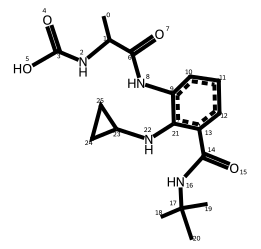 CC(NC(=O)O)C(=O)Nc1cccc(C(=O)NC(C)(C)C)c1NC1CC1